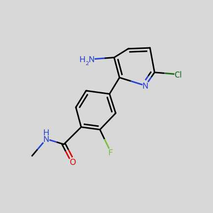 CNC(=O)c1ccc(-c2nc(Cl)ccc2N)cc1F